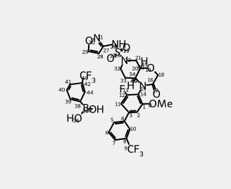 COc1cc(-c2cccc(C(F)(F)F)c2)cc(F)c1N1C(=O)CO[C@@H]2CN(S(=O)(=O)Nc3ccon3)CC[C@H]21.OB(O)c1cccc(C(F)(F)F)c1